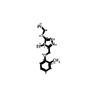 CCn1c(COc2ccccc2C)nnc1SCC(C)C